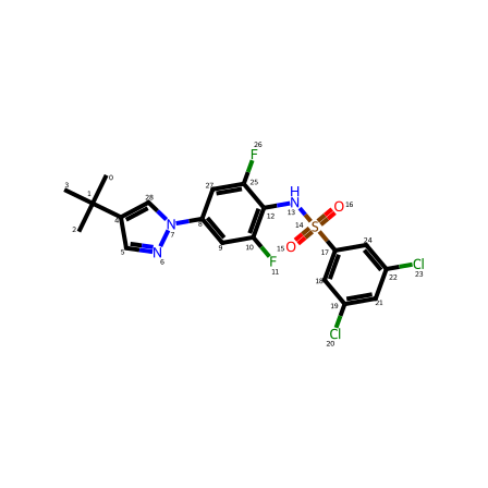 CC(C)(C)c1cnn(-c2cc(F)c(NS(=O)(=O)c3cc(Cl)cc(Cl)c3)c(F)c2)c1